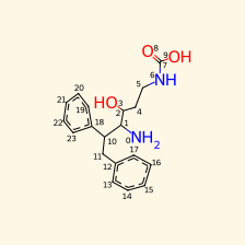 NC(C(O)CCNC(=O)O)C(Cc1ccccc1)c1ccccc1